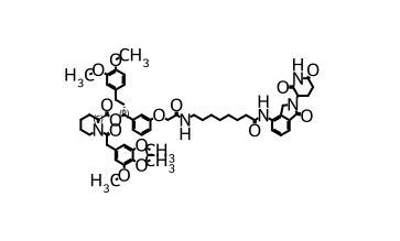 COc1ccc(CC[C@@H](OC(=O)[C@@H]2CCCCN2C(=O)Cc2cc(OC)c(OC)c(OC)c2)c2cccc(OCC(=O)NCCCCCCCC(=O)Nc3cccc4c3CN(C3CCC(=O)NC3=O)C4=O)c2)cc1OC